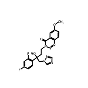 COc1ccc2nnn(CCC(O)(Cn3cncn3)c3ccc(F)cc3F)c(=O)c2c1